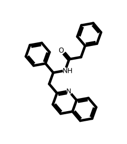 O=C(Cc1ccccc1)NC(Cc1ccc2ccccc2n1)c1ccccc1